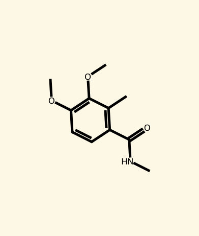 CNC(=O)c1ccc(OC)c(OC)c1C